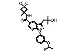 CC(F)Oc1cccc(-n2nc(CC(C)(C)O)c3cc(C(=O)NC4(C)CS(=O)(=O)C4)cnc32)c1